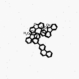 CC1(C)c2ccccc2-c2ccc(N(c3cccc4c3C(C)(C)c3ccccc3-4)c3cccc4oc5cccc(N(c6ccccc6)c6cccc(-c7ccc8c(ccc9ccccc98)c7)c6)c5c34)cc21